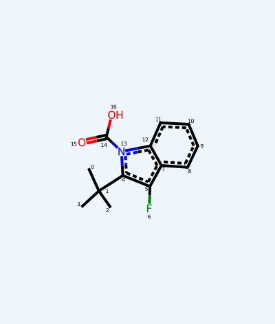 CC(C)(C)c1c(F)c2ccccc2n1C(=O)O